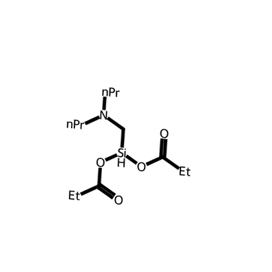 CCCN(CCC)C[SiH](OC(=O)CC)OC(=O)CC